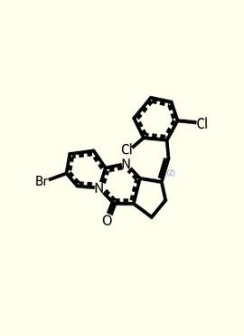 O=c1c2c(nc3ccc(Br)cn13)/C(=C\c1c(Cl)cccc1Cl)CC2